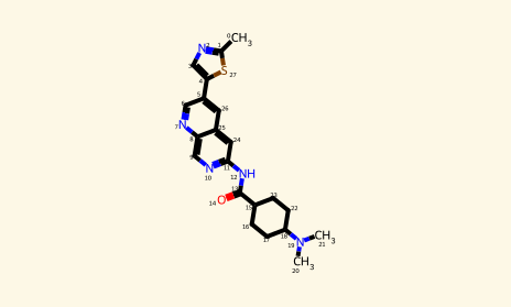 Cc1ncc(-c2cnc3cnc(NC(=O)C4CCC(N(C)C)CC4)cc3c2)s1